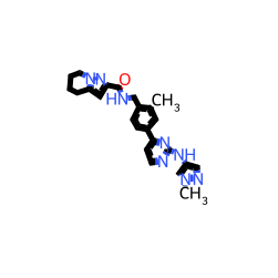 Cc1cc(-c2ccnc(Nc3cnn(C)c3)n2)ccc1CNC(=O)c1cc2n(n1)CCCC2